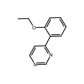 CCOc1ccccc1-c1ccn[c]n1